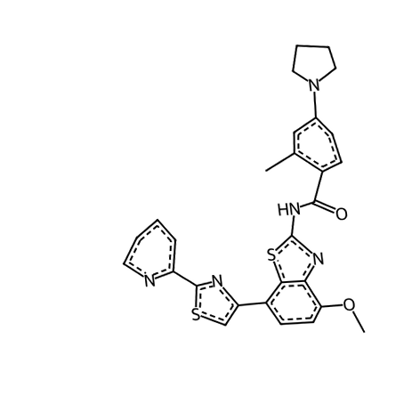 COc1ccc(-c2csc(-c3ccccn3)n2)c2sc(NC(=O)c3ccc(N4CCCC4)cc3C)nc12